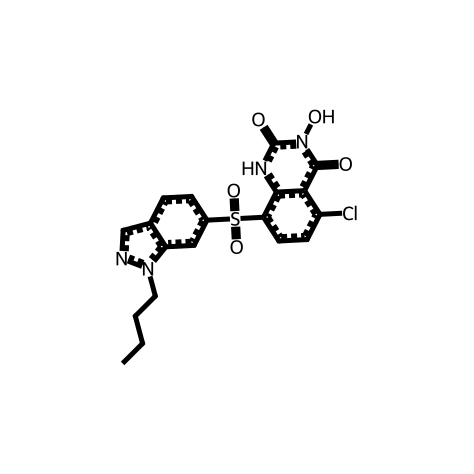 CCCCn1ncc2ccc(S(=O)(=O)c3ccc(Cl)c4c(=O)n(O)c(=O)[nH]c34)cc21